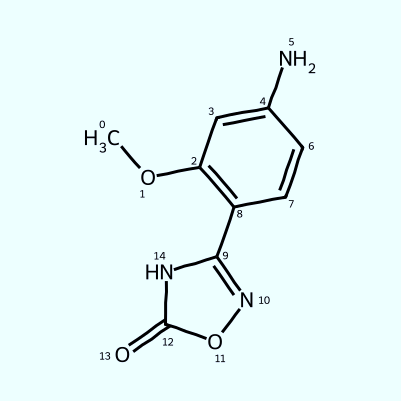 COc1cc(N)ccc1-c1noc(=O)[nH]1